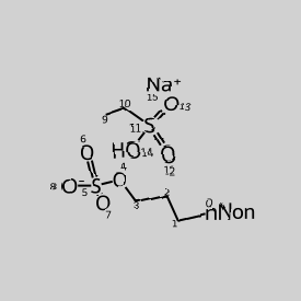 CCCCCCCCCCCCOS(=O)(=O)[O-].CCS(=O)(=O)O.[Na+]